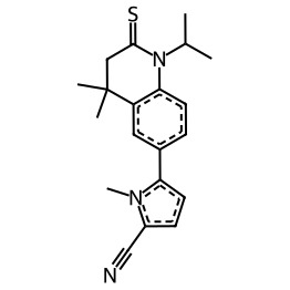 CC(C)N1C(=S)CC(C)(C)c2cc(-c3ccc(C#N)n3C)ccc21